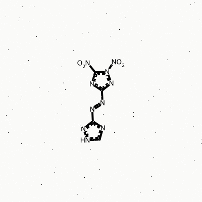 O=[N+]([O-])c1nc(N=Nc2nc[nH]n2)nn1[N+](=O)[O-]